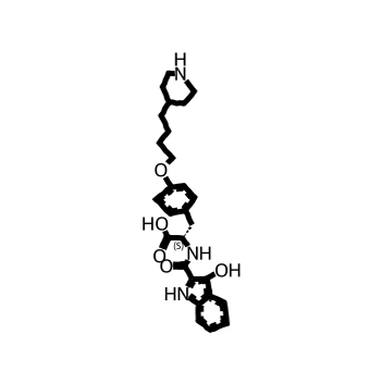 O=C(N[C@@H](Cc1ccc(OCCCCC2CCNCC2)cc1)C(=O)O)c1[nH]c2ccccc2c1O